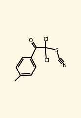 Cc1ccc(C(=O)C(Cl)(Cl)SC#N)cc1